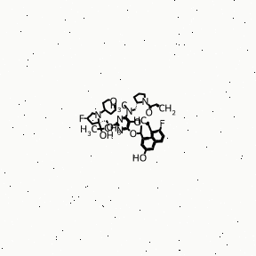 C#Cc1c(F)ccc2cc(O)cc(C3COc4c(nc(OC[C@]5(C(C)(C)O)C[C@@H](F)CN5C5CCOCC5)nc4N(C)C[C@@H]4CCCN4C(=O)C=C)O3)c12